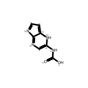 O=C(O)Nc1cnc2nccc-2[nH]1